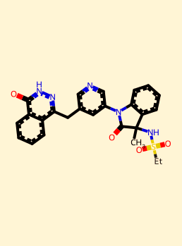 CCS(=O)(=O)NC1(C)C(=O)N(c2cncc(Cc3n[nH]c(=O)c4ccccc34)c2)c2ccccc21